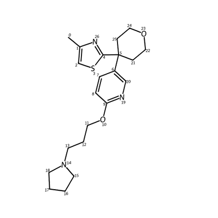 Cc1csc(C2(c3ccc(OCCCN4CCCC4)nc3)CCOCC2)n1